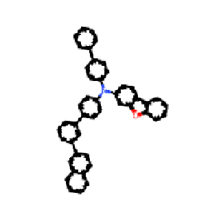 c1ccc(-c2ccc(N(c3ccc(-c4cccc(-c5ccc6ccccc6c5)c4)cc3)c3ccc4c(c3)oc3ccccc34)cc2)cc1